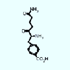 NC(=O)CCCC(=O)[C@@H](N)Cc1ccc(C(=O)O)cc1